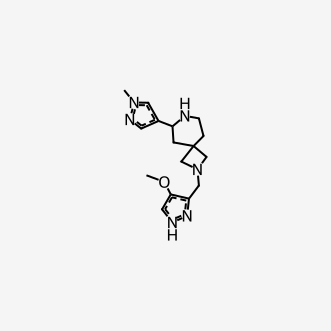 COc1c[nH]nc1CN1CC2(CCNC(c3cnn(C)c3)C2)C1